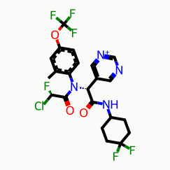 Cc1cc(OC(F)(F)F)ccc1N(C(=O)[C@H](F)Cl)[C@@H](C(=O)NC1CCC(F)(F)CC1)C1=C=[N+]=CN=C1